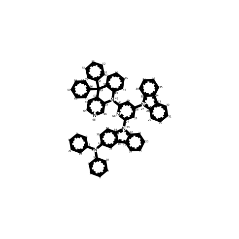 c1ccc(N(c2ccccc2)c2ccc3c(c2)c2ccccc2n3-c2cc(-n3c4ccccc4c4ccccc43)cc(N3c4ccccc4C(c4ccccc4)(c4ccccc4)c4ccncc43)n2)cc1